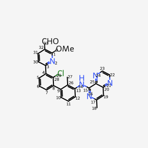 COc1nc(-c2cccc(-c3cccc(Nc4nc(C)cc5nccnc45)c3C)c2Cl)ccc1C=O